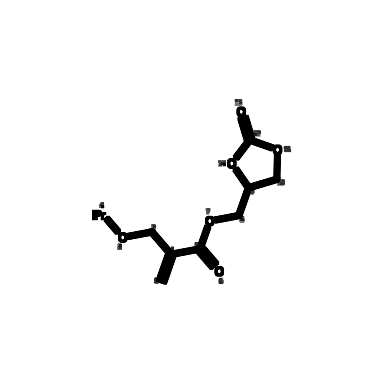 C=C(COC(C)C)C(=O)OCC1COC(=O)O1